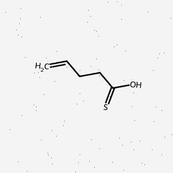 C=CCCC(O)=S